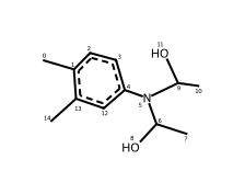 Cc1ccc(N(C(C)O)C(C)O)cc1C